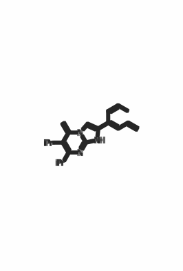 C=C/C=C(\C=C/C)C1=CN2C(=C)C(C(C)C)=C(C(C)C)N=C2N1